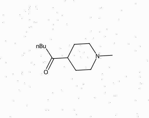 CCCCC(=O)C1CCN(C)CC1